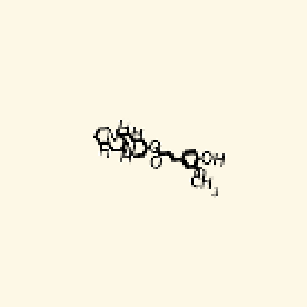 COc1cc(/C=C/C(=O)OC2CCN3[C@@H]4C[C@@H](C[C@@H]3C2)N2CCCC[C@@H]2C4)ccc1O